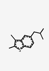 Cc1sc2ccc(CC(C)C)cc2c1C